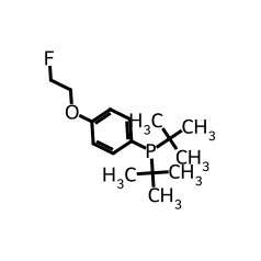 CC(C)(C)P(c1ccc(OCCF)cc1)C(C)(C)C